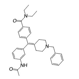 CCN(CC)C(=O)c1ccc(C(=C2CCN(Cc3ccccc3)CC2)c2cccc(NC(C)=O)c2)cc1